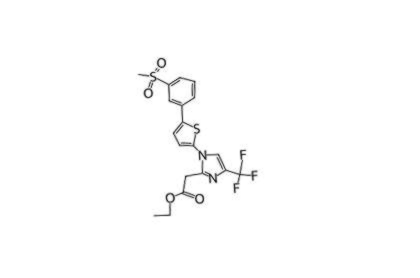 CCOC(=O)Cc1nc(C(F)(F)F)cn1-c1ccc(-c2cccc(S(C)(=O)=O)c2)s1